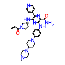 C=CC(=O)N1CC[C@@H](Nc2nc(Nc3ccc(N4CCC(N5CCN(C)CC5)CC4)cc3)c(C(N)=O)nc2-c2ccncc2)C1